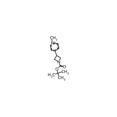 C[n+]1ccc(C2CN(C(=O)OC(C)(C)C)C2)cc1